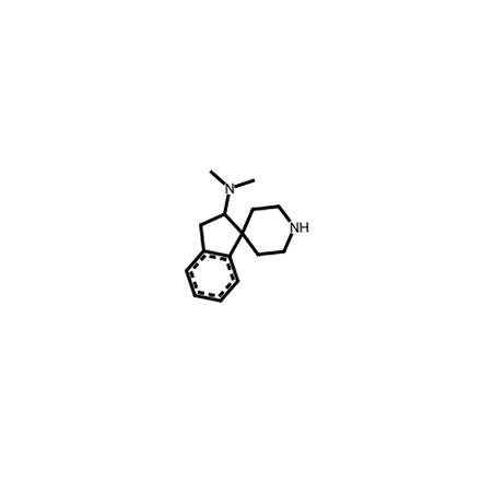 CN(C)C1Cc2ccccc2C12CCNCC2